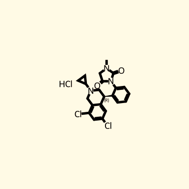 CN1CC(=O)N(c2ccccc2[C@@H]2CN(C3CC3)Cc3c(Cl)cc(Cl)cc32)C1=O.Cl